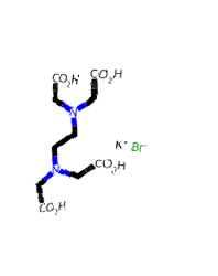 O=C(O)CN(CCN(CC(=O)O)CC(=O)O)CC(=O)O.[Br-].[K+]